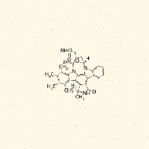 COC[C@@]1(O)C[C@H]2O[C@]1(C(C)C)n1c3c(C)c(C)c(C)c(C)c3c3c4c(c5c6ccccc6n2c5c31)C(=O)NC4(C)C